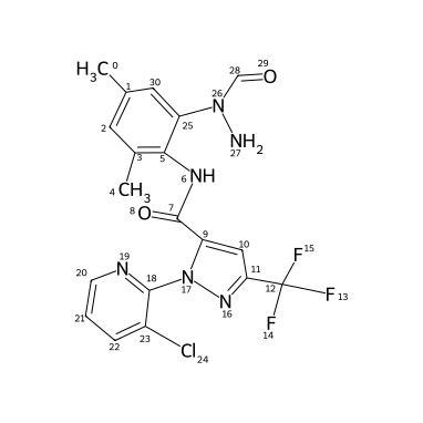 Cc1cc(C)c(NC(=O)c2cc(C(F)(F)F)nn2-c2ncccc2Cl)c(N(N)C=O)c1